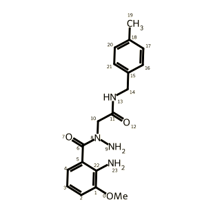 COc1cccc(C(=O)N(N)CC(=O)NCc2ccc(C)cc2)c1N